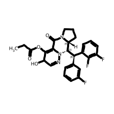 CCC(=O)OC1=C2C(=O)N3CCC[C@@H]3[C@H]([C@H](c3cccc(F)c3)c3cccc(F)c3F)N2N=CC1O